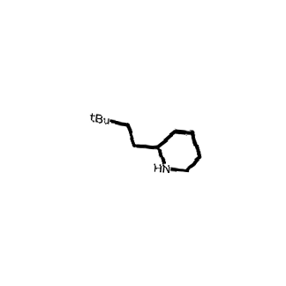 CC(C)(C)CCC1CCCCN1